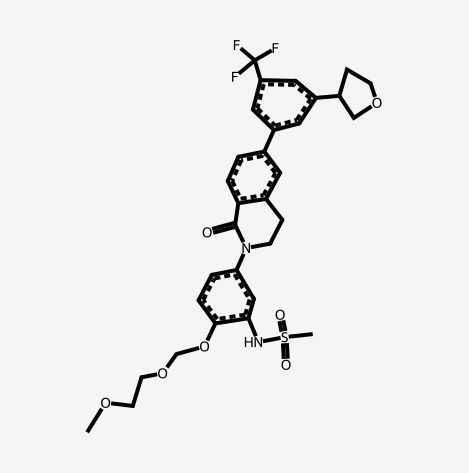 COCCOCOc1ccc(N2CCc3cc(-c4cc(C5CCOC5)cc(C(F)(F)F)c4)ccc3C2=O)cc1NS(C)(=O)=O